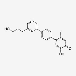 Cc1cc(=O)c(O)cn1-c1ccc(-c2cccc(CCCO)c2)cc1